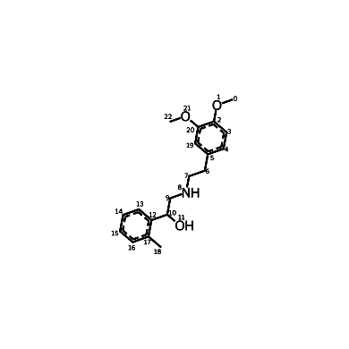 COc1ccc(CCNCC(O)c2ccccc2C)cc1OC